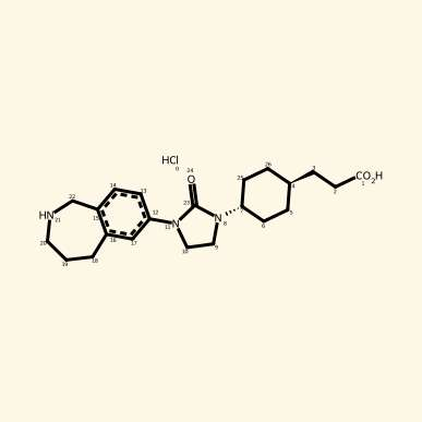 Cl.O=C(O)CC[C@H]1CC[C@H](N2CCN(c3ccc4c(c3)CCCNC4)C2=O)CC1